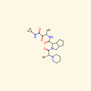 CCCC(NC(=O)C1C2CCCC2CN1C(=O)C(C(C)C)N1CCCCC1)C(=O)C(=O)NC1CC1